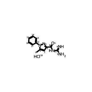 Cc1cc(C(=O)NC(=N)N)nn1-c1ccccc1.Cl